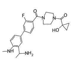 CNc1ccc(-c2ccc(C(=O)N3CCN(C(=O)C4(O)CC4)CC3)c(F)c2)cc1C(C)N